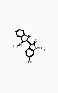 CN1C(=O)/C(=C2\Nc3ccccc3\C2=N/O)c2ccc(Br)cc21